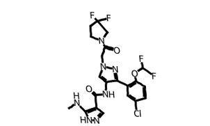 CNc1[nH]ncc1C(=O)Nc1cn(CC(=O)N2CCC(F)(F)C2)nc1-c1cc(Cl)ccc1OC(F)F